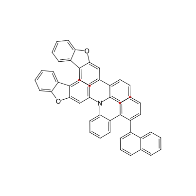 c1ccc(-c2cccc3ccccc23)c(-c2ccccc2N(c2ccc3c(c2)oc2ccccc23)c2ccccc2-c2ccc3c(c2)oc2ccccc23)c1